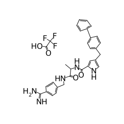 CC(NC(=O)c1cc(Cc2ccc(-c3ccccc3)cc2)c[nH]1)C(=O)NCc1ccc(C(=N)N)cc1.O=C(O)C(F)(F)F